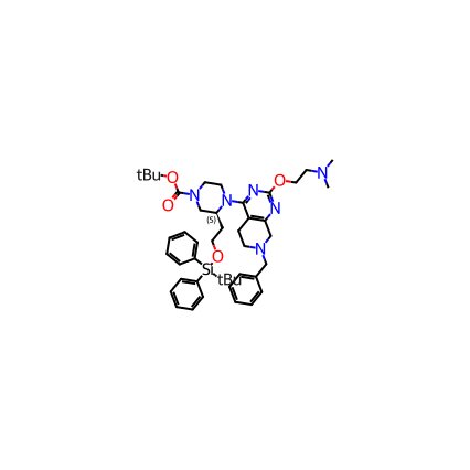 CN(C)CCOc1nc2c(c(N3CCN(C(=O)OC(C)(C)C)C[C@@H]3CCO[Si](c3ccccc3)(c3ccccc3)C(C)(C)C)n1)CCN(Cc1ccccc1)C2